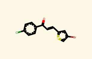 O=C(/C=C/c1cc(Br)cs1)c1ccc(Cl)cc1